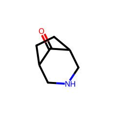 O=C1C2CCC1CNC2